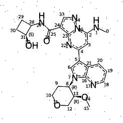 CNc1cc(-c2cn([C@@H]3CCOC[C@@H]3OC)c3ncccc23)nc2c(C(=O)NC3CC[C@@H]3O)cnn12